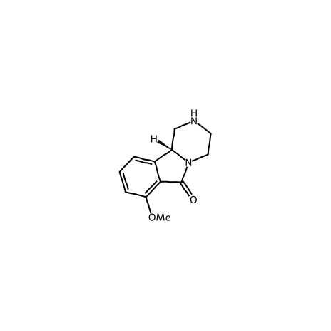 COc1cccc2c1C(=O)N1CCNC[C@@H]21